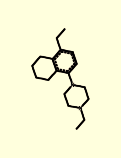 CCc1ccc(N2CCN(CC)CC2)c2c1CCCC2